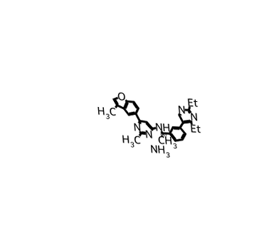 CCc1ncc(-c2cccc([C@H](C)Nc3cc(-c4ccc5occ(C)c5c4)nc(C)n3)c2)c(CC)n1.N